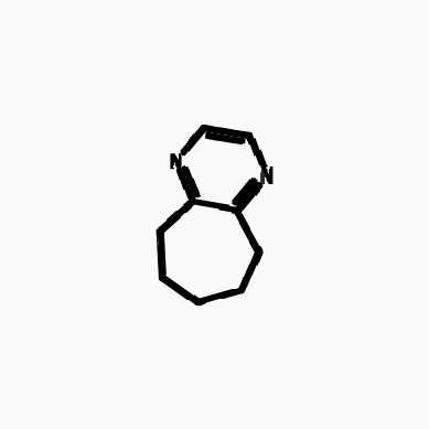 c1cnc2c(n1)CCCCC2